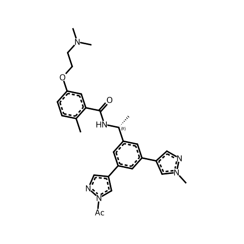 CC(=O)n1cc(-c2cc(-c3cnn(C)c3)cc([C@@H](C)NC(=O)c3cc(OCCN(C)C)ccc3C)c2)cn1